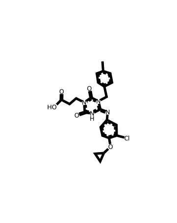 Cc1ccc(Cn2c(=O)n(CCC(=O)O)c(=O)[nH]/c2=N\c2ccc(OC3CC3)c(Cl)c2)cc1